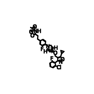 CS(=O)(=O)NC(=O)CCc1ccc(N2C[C@@H]3C[C@H]2C[C@H]3OCc2c(-c3c(F)cccc3Cl)noc2C2CC2)c(F)c1